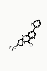 O=c1c2ncc(-c3ccccn3)cc2nc2n1CC(C(F)(F)F)C2